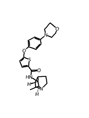 C[C@H]1[C@H](NC(=O)c2ccc(Oc3ccc(N4CCOCC4)cc3)s2)C2CCN1CC2